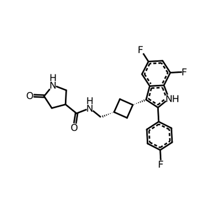 O=C1CC(C(=O)NC[C@H]2C[C@@H](c3c(-c4ccc(F)cc4)[nH]c4c(F)cc(F)cc43)C2)CN1